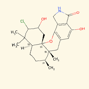 C[C@H]1CC[C@H]2C(C)(C)C(Cl)C(O)C[C@]23Oc2c(cc(O)c4c2CNC4=O)C[C@]13C